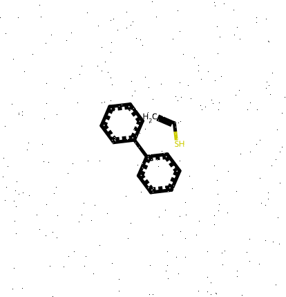 C=CS.c1ccc(-c2ccccc2)cc1